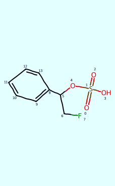 O=S(=O)(O)OC(CF)c1ccccc1